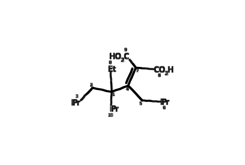 CCC(CC(C)C)(C(CC(C)C)=C(C(=O)O)C(=O)O)C(C)C